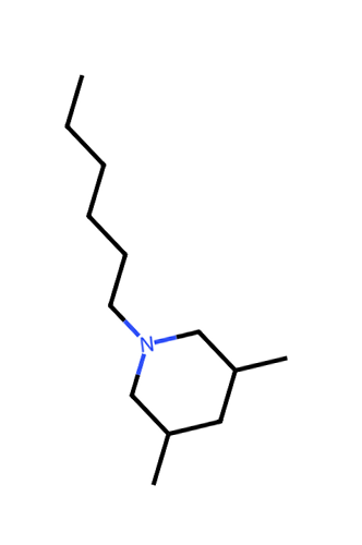 CCCCCCN1CC(C)CC(C)C1